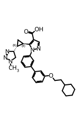 CN1CC([C@@H]2C[C@H]2c2c(C(=O)O)cnn2-c2cccc(-c3cccc(OCCC4CCCCC4)c3)c2)N=N1